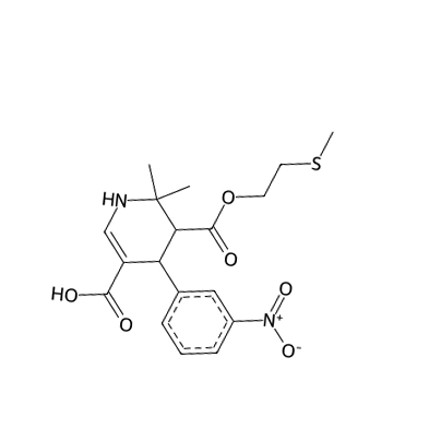 CSCCOC(=O)C1C(c2cccc([N+](=O)[O-])c2)C(C(=O)O)=CNC1(C)C